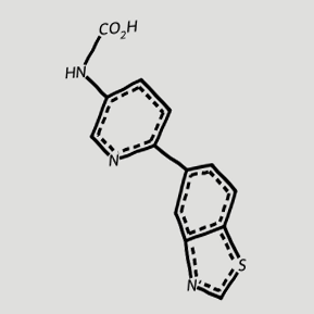 O=C(O)Nc1ccc(-c2ccc3scnc3c2)nc1